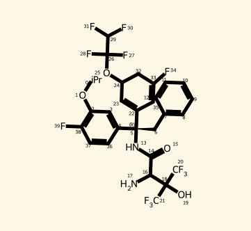 CC(C)Oc1cc([C@@](Cc2ccccc2)(NC(=O)C(N)C(O)(C(F)(F)F)C(F)(F)F)C2=CC(OC(F)(F)C(F)F)CC(F)=C2)ccc1F